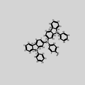 Fc1ccc(N(c2ccc3c4ccccc4n(-c4ccccc4)c3c2)c2ccc3c4ccccc4n(-c4ccccc4)c3c2)cc1